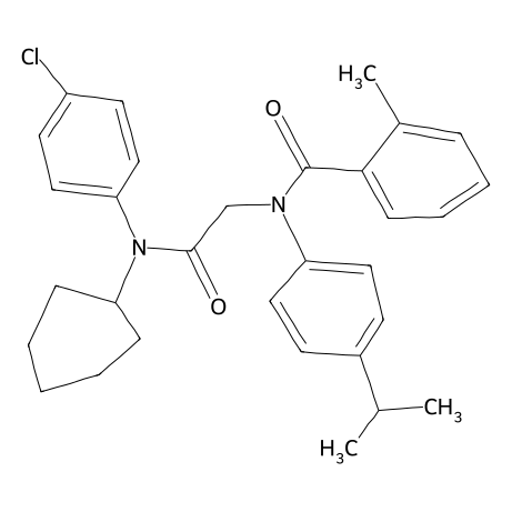 Cc1ccccc1C(=O)N(CC(=O)N(c1ccc(Cl)cc1)C1CCCCC1)c1ccc(C(C)C)cc1